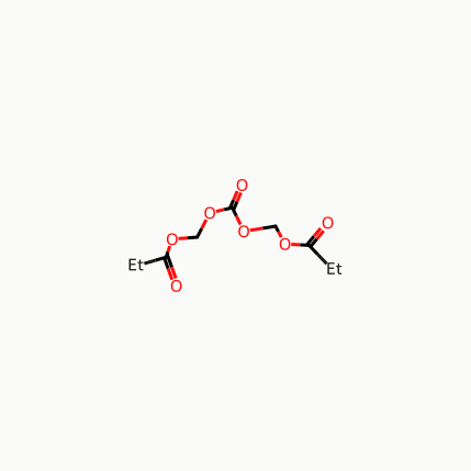 CCC(=O)OCOC(=O)OCOC(=O)CC